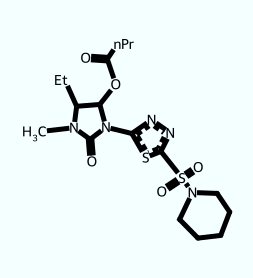 CCCC(=O)OC1C(CC)N(C)C(=O)N1c1nnc(S(=O)(=O)N2CCCCC2)s1